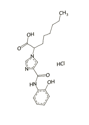 CCCCCCC(C(=O)O)n1cnc(C(=O)Nc2ccccc2O)c1.Cl